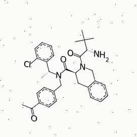 CC(=O)c1ccc(CN(C(=O)[C@@H]2Cc3ccccc3CN2C(=O)[C@@H](N)C(C)(C)C)[C@H](C)c2ccccc2Cl)cc1